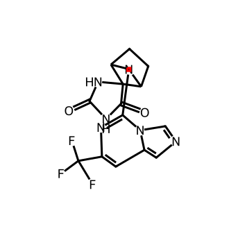 O=C1NC(=O)C2(N1)C1CCC2N(c2nc(C(F)(F)F)cc3cncn23)C1